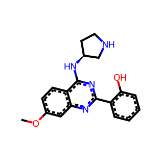 COc1ccc2c(N[C@H]3CCNC3)nc(-c3ccccc3O)nc2c1